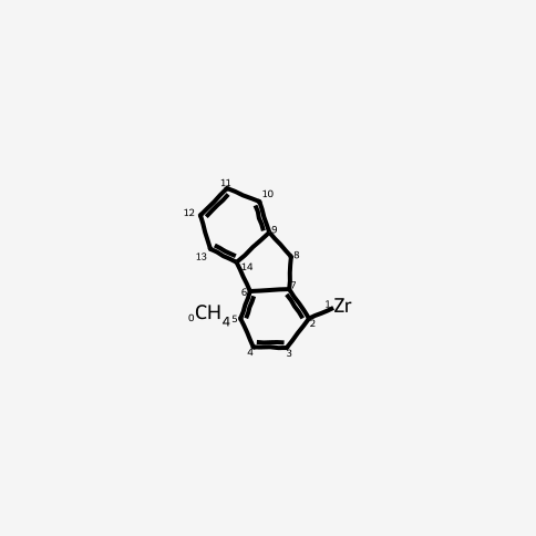 C.[Zr][c]1cccc2c1Cc1ccccc1-2